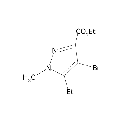 CCOC(=O)c1nn(C)c(CC)c1Br